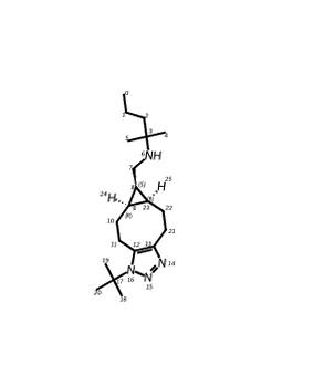 CCCC(C)(C)NC[C@@H]1[C@@H]2CCc3c(nnn3C(C)(C)C)CC[C@@H]21